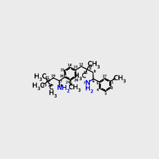 Cc1cccc(C(N)CC(C)(C)Cc2ccc(C(N)CC(C)(C)C)c(C)c2)c1